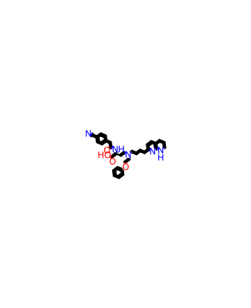 N#Cc1ccc(CC(=O)N[C@@H](CCN(CCCCc2ccc3c(n2)NCCC3)CCOc2ccccc2)C(=O)O)cc1